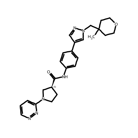 CC1(Cn2cc(-c3ccc(NC(=O)[C@H]4CCN(c5cccnn5)C4)cc3)cn2)CCOCC1